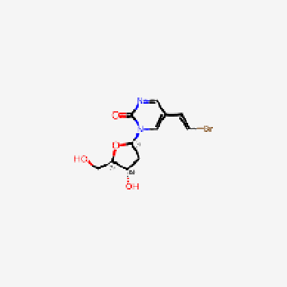 O=c1ncc(C=CBr)cn1[C@H]1C[C@H](O)[C@@H](CO)O1